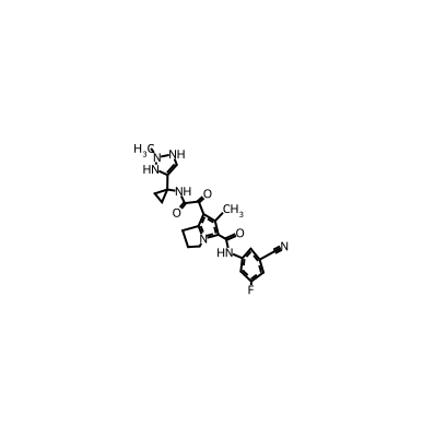 Cc1c(C(=O)C(=O)NC2(C3=CNN(C)N3)CC2)c2n(c1C(=O)Nc1cc(F)cc(C#N)c1)CCC2